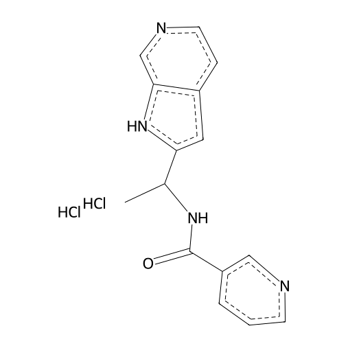 CC(NC(=O)c1cccnc1)c1cc2ccncc2[nH]1.Cl.Cl